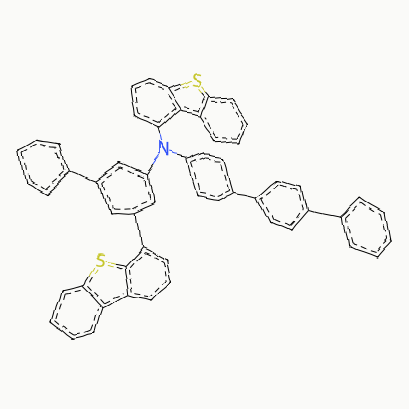 c1ccc(-c2ccc(-c3ccc(N(c4cc(-c5ccccc5)cc(-c5cccc6c5sc5ccccc56)c4)c4cccc5sc6ccccc6c45)cc3)cc2)cc1